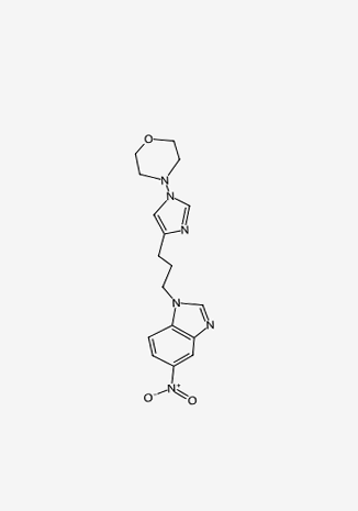 O=[N+]([O-])c1ccc2c(c1)ncn2CCCc1cn(N2CCOCC2)cn1